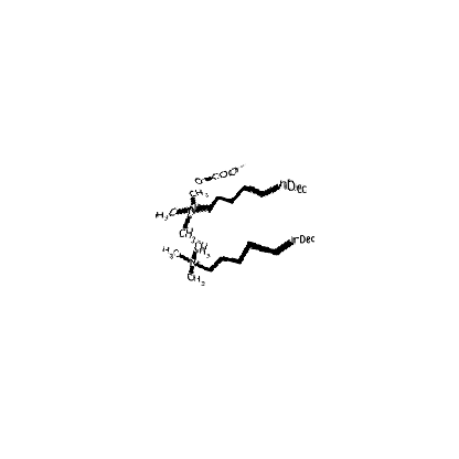 CCCCCCCCCCCCCCC[N+](C)(C)C.CCCCCCCCCCCCCCC[N+](C)(C)C.O=C([O-])[O-]